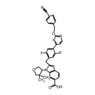 CC1(C)COC[C@H]1n1c(Cc2cc(F)c(-c3ccnc(OCc4ccc(C#N)cc4)n3)cc2F)nc2ccc(C(=O)O)cc21